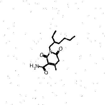 CCCCC(CC)CN1C(=O)CC(C)=C(C(N)=O)C1=O